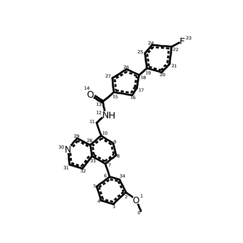 COc1cccc(-c2ccc(CNC(=O)c3ccc(-c4ccc(F)cc4)cc3)c3cnccc23)c1